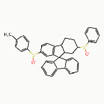 Cc1ccc([S+]([O-])c2ccc3c(c2)C2(c4ccccc4-c4ccccc42)C2CC([S+]([O-])c4ccccc4)CCC32)cc1